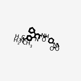 CC(C)(N)c1ccc(-c2ncc(NC(=O)C[C@H]3CC[C@H](N4CCOC4=O)CC3)cc2-c2ccccc2)cc1